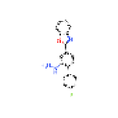 NNc1cc(-c2nc3ccccc3o2)ccc1-c1ccc(F)cc1